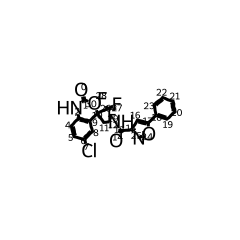 O=C1Nc2ccc(Cl)cc2C(CNC(=O)c2cc(-c3ccccc3)on2)(C(F)(F)F)O1